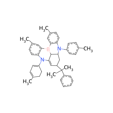 CC1=CC=C(N2C3=CC(C(C)(C)c4ccccc4)CC4C3B(c3cc(C)ccc32)c2cc(C)ccc2N4c2ccc(C)cc2)CC1